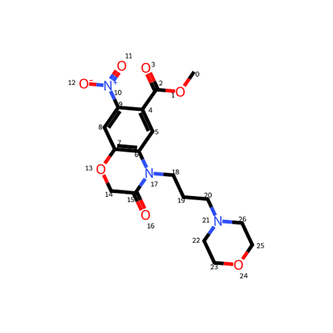 COC(=O)c1cc2c(cc1[N+](=O)[O-])OCC(=O)N2CCCN1CCOCC1